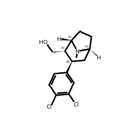 CN1[C@H]2CC[C@H]1[C@@H](CO)[C@H](c1ccc(Cl)c(Cl)c1)C2